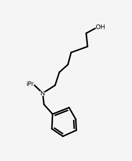 CC(C)N(CCCCCCO)Cc1ccccc1